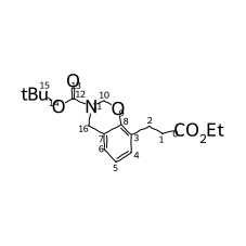 CCOC(=O)CCc1cccc2c1OCN(C(=O)OC(C)(C)C)C2